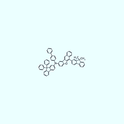 CC1(C)c2ccccc2-c2ccc(-c3c4ccccc4cc4c3oc3ccc(N(c5ccc(-c6ccccc6)cc5)c5ccc6c(c5)C(c5ccccc5)(c5ccccc5)c5ccccc5-6)cc34)cc21